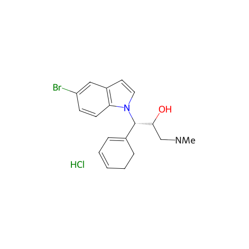 CNCC(O)[C@H](C1=CC=CCC1)n1ccc2cc(Br)ccc21.Cl